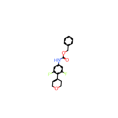 O=C(Nc1cc(F)c(C2=CCOCC2)c(F)c1)OCc1ccccc1